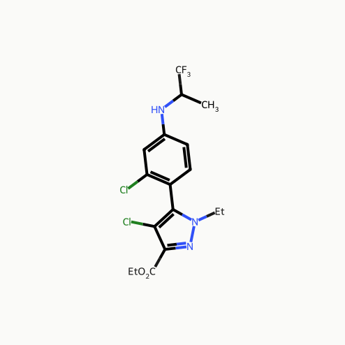 CCOC(=O)c1nn(CC)c(-c2ccc(NC(C)C(F)(F)F)cc2Cl)c1Cl